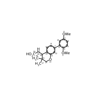 COc1ccc(OC)c(-c2ccc3c(c2)OCC(C)(C)C3NC(=O)O)c1